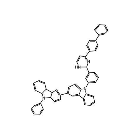 C1=CC2C3C=C(c4ccc5c(c4)c4ccccc4n5-c4cccc(C5N=C(c6ccc(-c7ccccc7)cc6)C=CN5)c4)C=CC3N(c3ccccc3)C2C=C1